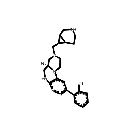 Oc1ccccc1-c1cc2c(nn1)NC[C@H]1CN(CC3C4CCNCC43)CCN21